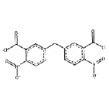 O=C(Cl)c1cc(Cc2ccc([N+](=O)[O-])c(C(=O)Cl)c2)ccc1[N+](=O)[O-]